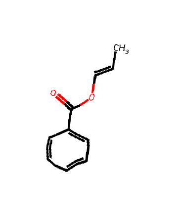 C/C=C/OC(=O)c1ccccc1